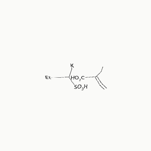 C=C(C)C(=O)O.CC[CH]([K])S(=O)(=O)O